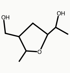 CC(O)C1CC(CO)C(C)O1